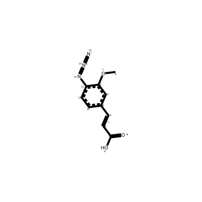 COc1cc(/C=C/C(=O)O)ccc1N=[N+]=[N-]